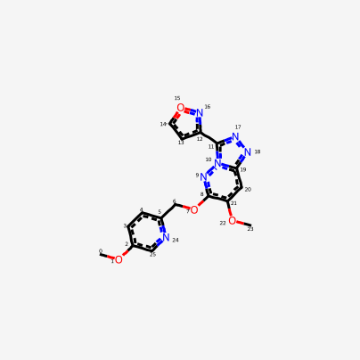 COc1ccc(COc2nn3c(-c4c[c]on4)nnc3cc2OC)nc1